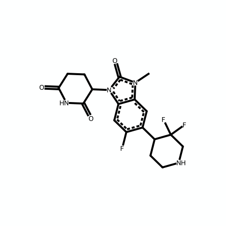 Cn1c(=O)n(C2CCC(=O)NC2=O)c2cc(F)c(C3CCNCC3(F)F)cc21